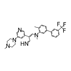 Cc1ccc(-c2cccc(C(F)(F)F)c2)cc1N(C)/C=C(\C=N)c1cncc(N2CCN(C)CC2)c1